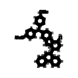 COc1ccc(N(c2ccc(OC)cc2)c2ccc3c(c2)sc2c(-c4cc5ccccc5c5ccccc45)ccc(Cl)c23)cc1